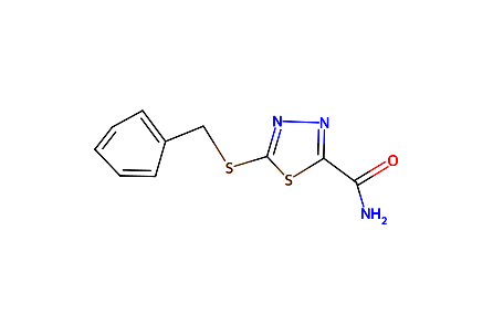 NC(=O)c1nnc(SCc2ccccc2)s1